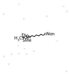 CCC(C)(O)SC.CCCCCCCCCCCCCCCC[O]